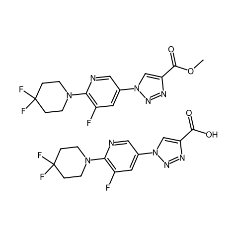 COC(=O)c1cn(-c2cnc(N3CCC(F)(F)CC3)c(F)c2)nn1.O=C(O)c1cn(-c2cnc(N3CCC(F)(F)CC3)c(F)c2)nn1